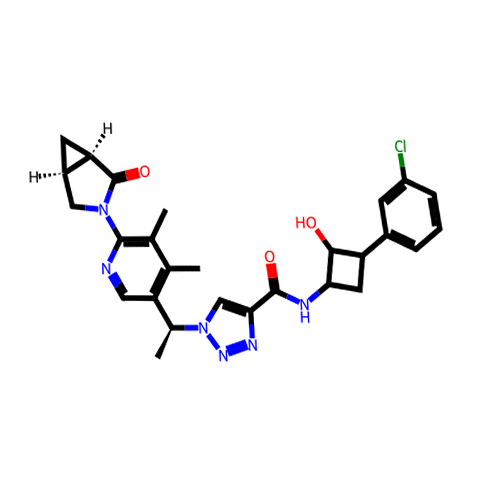 Cc1c([C@H](C)n2cc(C(=O)NC3CC(c4cccc(Cl)c4)C3O)nn2)cnc(N2C[C@H]3C[C@H]3C2=O)c1C